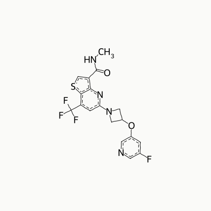 CNC(=O)c1csc2c(C(F)(F)F)cc(N3CC(Oc4cncc(F)c4)C3)nc12